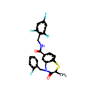 CC1Sc2ccc(C(=O)NCc3c(F)cc(F)cc3F)cc2N(Cc2ccccc2F)C1=O